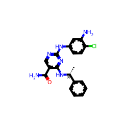 C[C@@H](Nc1nc(Nc2ccc(Cl)c(N)c2)ncc1C(N)=O)c1ccccc1